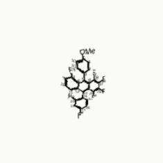 COc1ccc(-c2c3c(F)cccc3c(-c3ccc(F)cc3F)c3c(F)c(F)c(F)c(F)c23)cc1